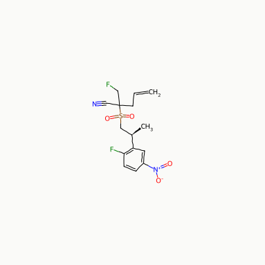 C=CCC(C#N)(CF)S(=O)(=O)C[C@@H](C)c1cc([N+](=O)[O-])ccc1F